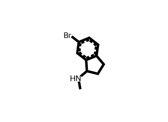 CNC1CCc2ccc(Br)cc21